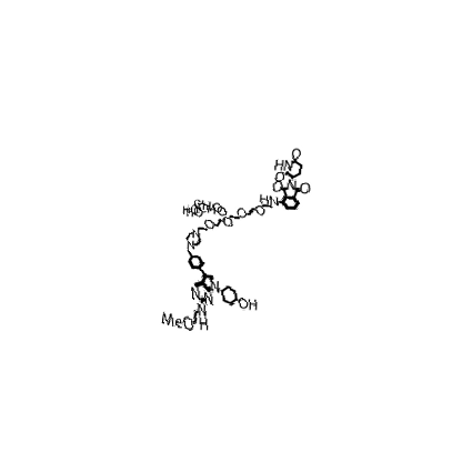 COCCNc1ncc2c(-c3ccc(CN4CCN(CCOCCOCCOCCOCCNc5cccc6c5C(=O)N(C5CCC(=O)NC5=O)C6=O)CC4)cc3)cn([C@H]3CC[C@H](O)CC3)c2n1.O=CO.O=CO